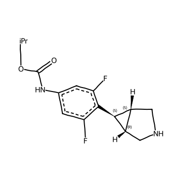 CC(C)OC(=O)Nc1cc(F)c([C@H]2[C@@H]3CNC[C@@H]32)c(F)c1